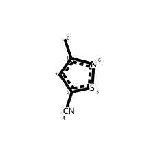 Cc1[c]c(C#N)sn1